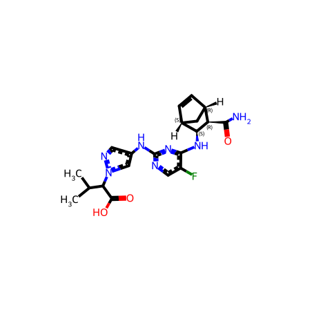 CC(C)C(C(=O)O)n1cc(Nc2ncc(F)c(N[C@@H]3[C@H](C(N)=O)[C@H]4C=C[C@@H]3C4)n2)cn1